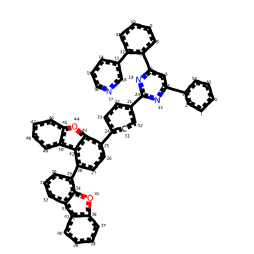 c1ccc(-c2cc(-c3ccccc3-c3cccnc3)nc(-c3ccc(-c4ccc(-c5cccc6c5oc5ccccc56)c5c4oc4ccccc45)cc3)n2)cc1